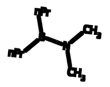 CCCB(CCC)N(C)C